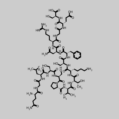 CC(C)C[C@H](NC(=O)CNC(=O)[C@@H](N)CCC(N)=O)C(=O)N[C@@H](CO)C(=O)N[C@@H](CO)C(=O)N1CCC[C@H]1C(=O)N[C@H](C(=O)N[C@H](C(=O)N[C@@H](CCCCN)C(=O)N[C@@H](CO)C(=O)N[C@@H](Cc1ccccc1)C(=O)N[C@@H](CC(N)=O)C(=O)N[C@@H](CCCNC(=N)N)C(=O)NCC(=O)N[C@@H](CCC(=O)O)C(=O)N[C@@H](CS)C(=O)O)[C@@H](C)O)C(C)C